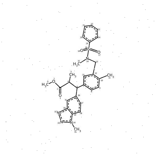 COC(=O)C(C)C(c1ccc(C)c(CN(C)S(=O)(=O)c2ccccc2)c1)c1ccc2c(c1)nnn2C